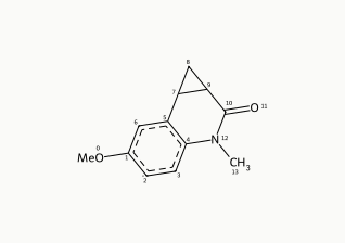 COc1[c]cc2c(c1)C1CC1C(=O)N2C